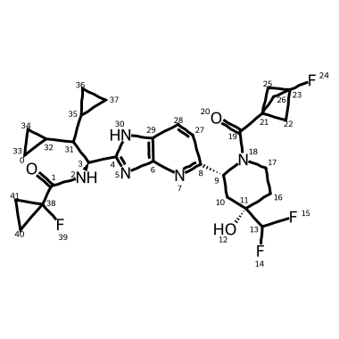 O=C(N[C@H](c1nc2nc([C@H]3C[C@](O)(C(F)F)CCN3C(=O)C34CC(F)(C3)C4)ccc2[nH]1)C(C1CC1)C1CC1)C1(F)CC1